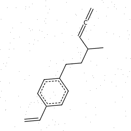 C=C=CC(C)CCc1ccc(C=C)cc1